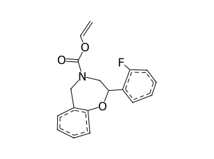 C=COC(=O)N1Cc2ccccc2OC(c2ccccc2F)C1